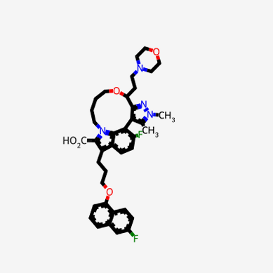 Cc1c2c(nn1C)C(CCN1CCOCC1)OCCCCn1c(C(=O)O)c(CCCOc3cccc4cc(F)ccc34)c3ccc(F)c-2c31